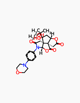 CC(C)(C)[C@]1(O)C[C@@H]2OC(=O)C[C@@]23C(=O)O[C@@H]2N(c4ccc(N5CCOCC5)cc4)C(=O)[C@H](O)[C@]213